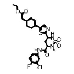 CCOC(=O)CC1CC=C(c2cnc(C3CC(C(=O)Nc4ccc(F)c(Cl)c4)N(C)S(=O)(=O)N3)s2)CC1